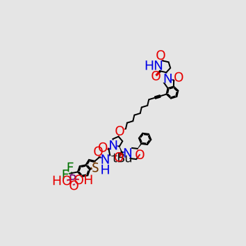 CC(C)(C)[C@H](NC(=O)c1cc2cc(C(F)(F)P(=O)(O)O)ccc2s1)C(=O)N1C[C@@H](OCCCCCCCCC#Cc2cccc3c2CN(C2CCC(=O)NC2=O)C3=O)C[C@H]1C(=O)N1CCO[C@H](c2ccccc2)C1